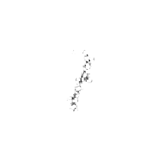 CC(=O)OCOC(=O)N1CCC(N2CCN(CC(=O)c3ccc(OCC(=O)OC4CCCCC4)cc3)C(=O)C2)CC1